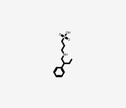 CCC(CNCCCS(=O)(=O)O)c1ccccc1